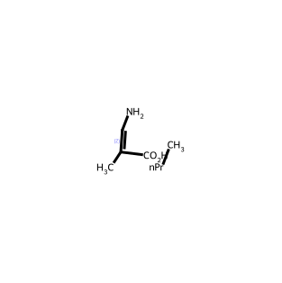 C/C(=C/N)C(=O)O.CCCC